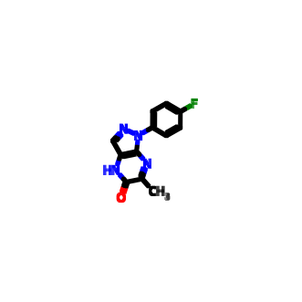 Cc1nc2c(cnn2-c2ccc(F)cc2)[nH]c1=O